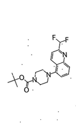 CC(C)(C)OC(=O)N1CCN(c2cccc3nc(C(F)F)ccc23)CC1